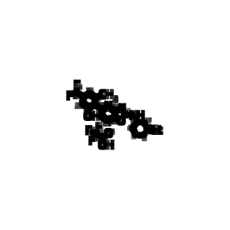 CCN1CCC[C@@H](Nc2nc3nc(-c4c(C)cc(C(F)F)cc4O)ccc3o2)C1.O=C(O)C(F)(F)F